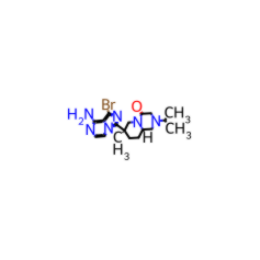 CC(C)N1CC(=O)N2C[C@](C)(c3nc(Br)c4c(N)nccn34)CC[C@H]2C1